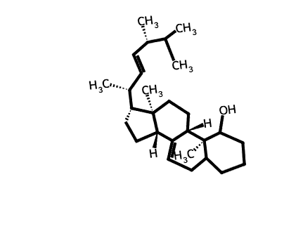 CC(C)[C@@H](C)/C=C/[C@@H](C)[C@H]1CC[C@H]2C3=CCC4CCCC(O)[C@]4(C)[C@H]3CC[C@]12C